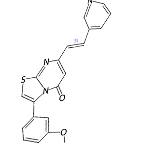 COc1cccc(-c2csc3nc(/C=C/c4cccnc4)cc(=O)n23)c1